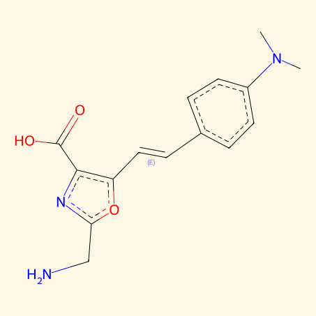 CN(C)c1ccc(/C=C/c2oc(CN)nc2C(=O)O)cc1